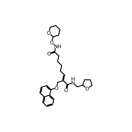 O=C(CCCC/C=C(\COc1cccc2ccccc12)C(=O)NCC1CCCO1)NOC1CCCCO1